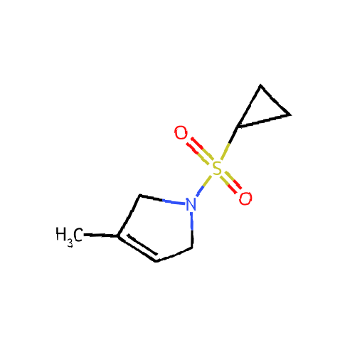 CC1=CCN(S(=O)(=O)C2CC2)C1